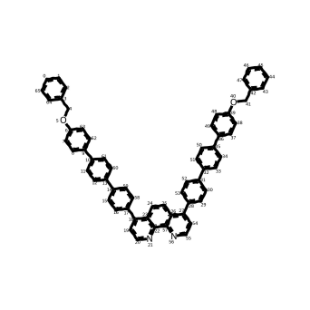 c1ccc(COc2ccc(-c3ccc(-c4ccc(-c5ccnc6c5ccc5c(-c7ccc(-c8ccc(-c9ccc(OCc%10ccccc%10)cc9)cc8)cc7)ccnc56)cc4)cc3)cc2)cc1